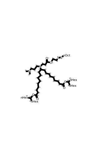 CCCCCCCCSSCCOC(=O)CCN(CCCN(C)C)C(CCCCCCCCC(=O)OC(CCCCCC)CCCCCC)CCCCCCCCC(=O)OC(CCCCCC)CCCCCC